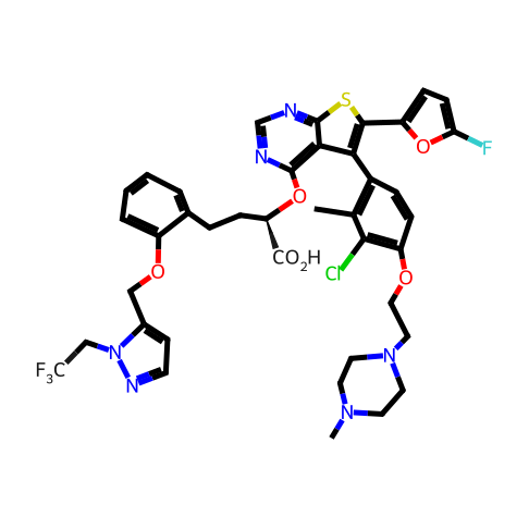 Cc1c(-c2c(-c3ccc(F)o3)sc3ncnc(O[C@H](CCc4ccccc4OCc4ccnn4CC(F)(F)F)C(=O)O)c23)ccc(OCCN2CCN(C)CC2)c1Cl